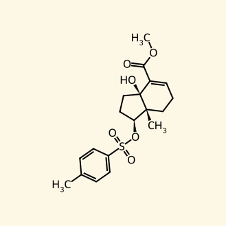 COC(=O)C1=CCC[C@]2(C)[C@@H](OS(=O)(=O)c3ccc(C)cc3)CC[C@]12O